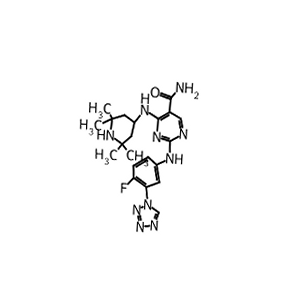 CC1(C)CC(Nc2nc(Nc3ccc(F)c(-n4cnnn4)c3)ncc2C(N)=O)CC(C)(C)N1